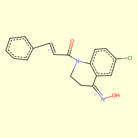 O=C(/C=C/c1ccccc1)N1CC/C(=N/O)c2cc(Cl)ccc21